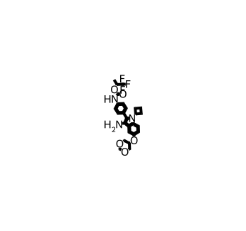 CC(OC(=O)Nc1ccc(-c2c(N)c3cc(OC4COCOC4)ccc3n2C2CCC2)cc1)C(F)(F)F